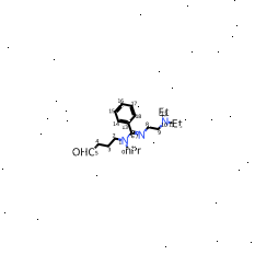 CCCN(CCCC=O)/C(=N/CCN(CC)CC)c1ccccc1